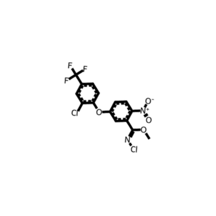 COC(=NCl)c1cc(Oc2ccc(C(F)(F)F)cc2Cl)ccc1[N+](=O)[O-]